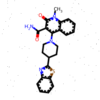 Cn1c(=O)c(C(N)=O)c(N2CCC(c3nc4ccccc4s3)CC2)c2ccccc21